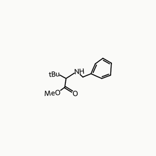 COC(=O)C(NCc1ccccc1)C(C)(C)C